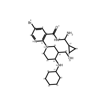 NC(NC(=O)c1cc(Br)cnc1N1CCC(NC2CCCCC2)C(CO)C1)C1CC1